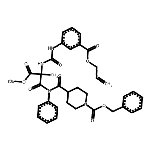 C=CCOC(=O)c1cccc(NC(=O)NC(C)(C(=O)OC(C)(C)C)C(=O)N(C(=O)C2CCN(C(=O)OCc3ccccc3)CC2)c2ccccc2)c1